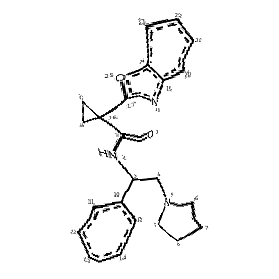 O=C(NC(CN1CCCC1)c1ccccc1)C1(c2nc3ccccc3o2)CC1